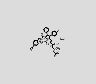 CC(C)n1c(C=C[C@@H](O)C[C@@H](O)CC(=O)[O-])c(-c2ccc(F)cc2)c(-c2ccccc2)c1C(=O)NCc1ccc(C#N)cc1.[Na+]